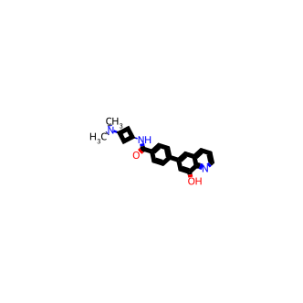 CN(C)[C@H]1C[C@H](NC(=O)c2ccc(-c3cc(O)c4ncccc4c3)cc2)C1